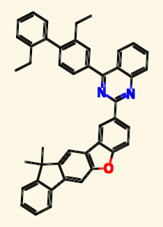 CCc1ccccc1-c1ccc(-c2nc(-c3ccc4oc5cc6c(cc5c4c3)C(C)(C)c3ccccc3-6)nc3ccccc23)cc1CC